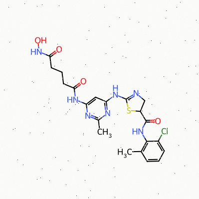 Cc1nc(NC(=O)CCCC(=O)NO)cc(NC2=NCC(C(=O)Nc3c(C)cccc3Cl)S2)n1